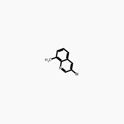 Cc1cccc2cc(Br)cnc12